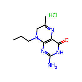 CCCN1CC(C)=Nc2c1nc(N)[nH]c2=O.Cl